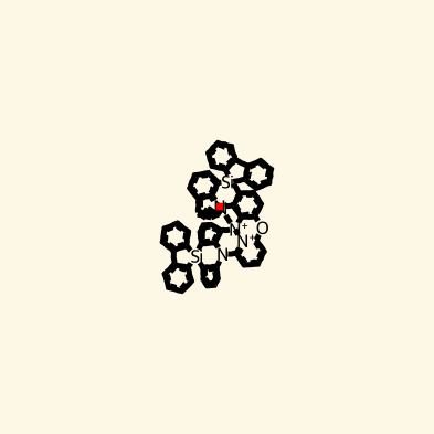 c1ccc2c(c1)-c1ccccc1[Si]21c2ccccc2N2c3c(cccc31)[N+]13c4c(ccc5c4-n4c6c(cccc6c6ccc[n+]1c64)[Si]51c4ccccc4-c4ccccc41)Oc1cccc2[n+]13